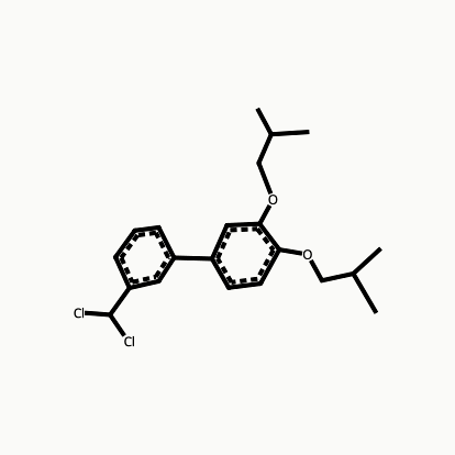 CC(C)COc1ccc(-c2cccc(C(Cl)Cl)c2)cc1OCC(C)C